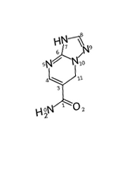 NC(=O)C1=CN=C2NC=NN2C1